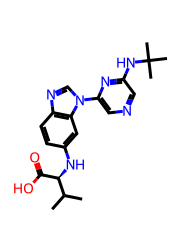 CC(C)[C@H](Nc1ccc2ncn(-c3cncc(NC(C)(C)C)n3)c2c1)C(=O)O